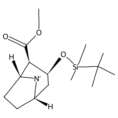 COC(=O)[C@H]1[C@@H](O[Si](C)(C)C(C)(C)C)C[C@@H]2CC[C@H]1N2C